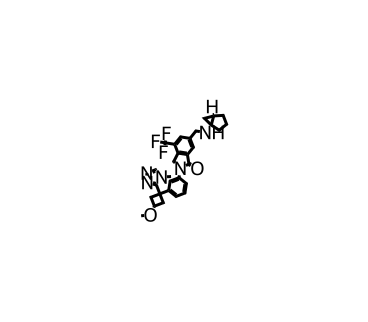 COC1CC(c2cccc(N3Cc4c(cc(CN[C@@]56CCC[C@@H]5C6)cc4C(F)(F)F)C3=O)c2)(c2nncn2C)C1